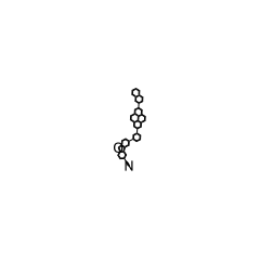 N#Cc1ccc2oc3ccc(-c4cccc(-c5cc6ccc7cc(-c8ccc9ccccc9c8)cc8ccc(c5)c6c78)c4)cc3c2c1